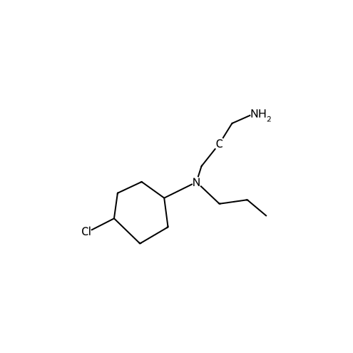 CCCN(CCCN)C1CCC(Cl)CC1